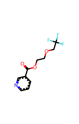 O=C(OCCOCC(F)(F)F)c1cccnc1